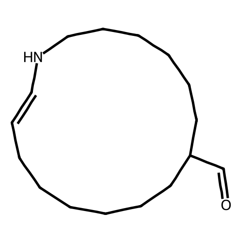 O=CC1CCCCCC/C=C/NCCCCCC1